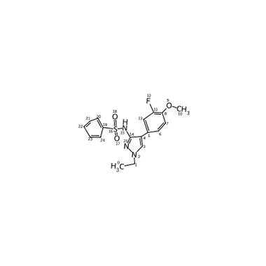 CCn1cc(-c2ccc(OC)c(F)c2)c(NS(=O)(=O)c2ccccc2)n1